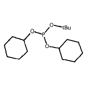 CC(C)(C)OP(OC1CCCCC1)OC1CCCCC1